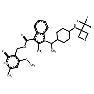 CSc1cc(C)[nH]c(=O)c1CNC(=O)c1c(C)n(C(C)C2CCC(NC3(C(F)(F)F)COC3)CC2)c2ccccc12